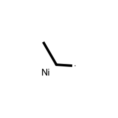 [CH2]CC.[Ni]